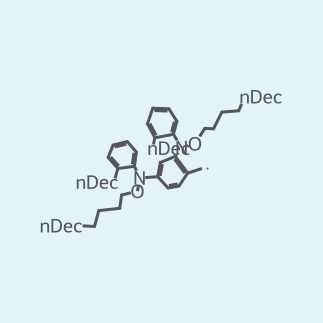 [CH2]c1ccc(N(OCCCCCCCCCCCCCC)c2ccccc2CCCCCCCCCC)cc1N(OCCCCCCCCCCCCCC)c1ccccc1CCCCCCCCCC